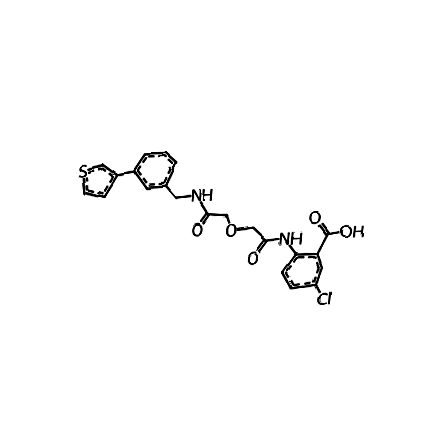 O=C(COCC(=O)Nc1ccc(Cl)cc1C(=O)O)NCc1cccc(-c2ccsc2)c1